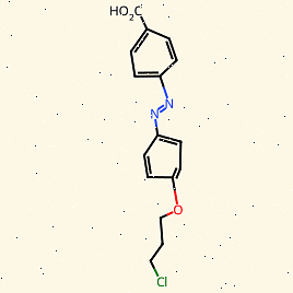 O=C(O)c1ccc(N=Nc2ccc(OCCCCl)cc2)cc1